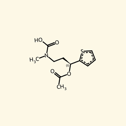 CC(=O)O[C@@H](CCN(C)C(=O)O)c1cccs1